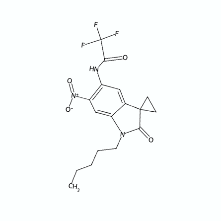 CCCCCN1C(=O)C2(CC2)c2cc(NC(=O)C(F)(F)F)c([N+](=O)[O-])cc21